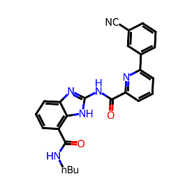 CCCCNC(=O)c1cccc2nc(NC(=O)c3cccc(-c4cccc(C#N)c4)n3)[nH]c12